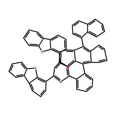 c1ccc(-c2c3ccccc3c(-c3cccc4ccccc34)c3ccccc23)c(-c2nc(-c3cccc4c3sc3ccccc34)cc(-c3cccc4c3sc3ccccc34)n2)c1